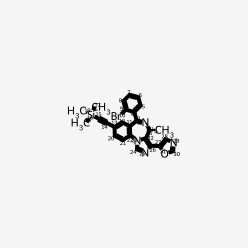 C[C@@H]1N=C(c2ccccc2Br)c2cc(C#C[Si](C)(C)C)ccc2-n2cnc(-c3cnco3)c21